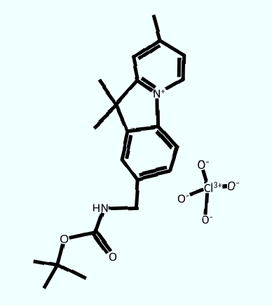 Cc1cc[n+]2c(c1)C(C)(C)c1cc(CNC(=O)OC(C)(C)C)ccc1-2.[O-][Cl+3]([O-])([O-])[O-]